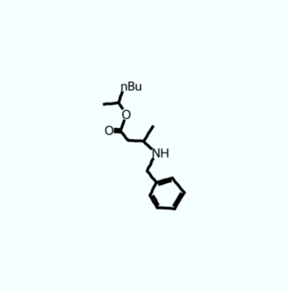 CCCCC(C)OC(=O)CC(C)NCc1ccccc1